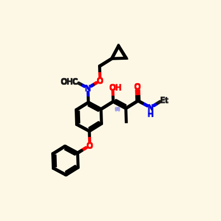 CCNC(=O)/C(C)=C(\O)c1cc(Oc2ccccc2)ccc1N(C=O)OCC1CC1